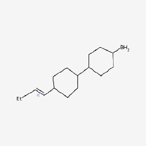 BC1CCC(C2CCC(/C=C/CC)CC2)CC1